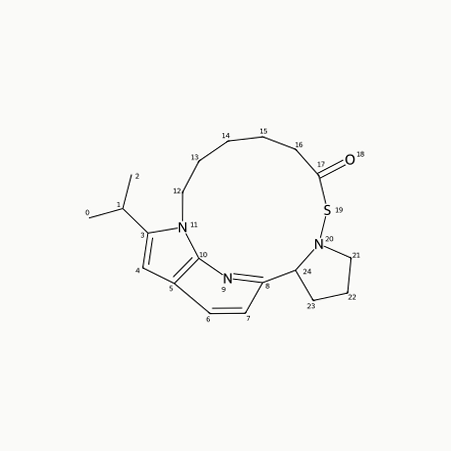 CC(C)c1cc2ccc3nc2n1CCCCCC(=O)SN1CCCC31